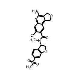 CN(C(=O)c1cc2c3c(c(N)nc2cc1Cl)COC3)[C@H]1COc2cc(S(C)(=O)=O)ccc21